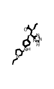 CCC[C@H](C(C)=O)[C@H](Cc1ccc(NC2CCCN(CCC)C2)cc1)c1nn[nH]n1